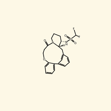 O=C1CCOc2ccccc2-c2cccc(c2)C[C@H]2[C@@H](NS(=O)(=O)C(F)F)CCCN12